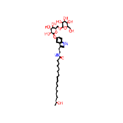 CC(O)CCCCCCCCCCCCCCCC(=O)NCCc1c[nH]c2ccc(OC3OC(COC4OC(CO)C(O)C(O)C4O)C(O)C(O)C3O)cc12